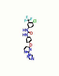 O=C(Nc1ccc(Oc2ccnc(-n3cncn3)n2)cc1)Nc1ccc(Cl)c(C(F)(F)F)c1